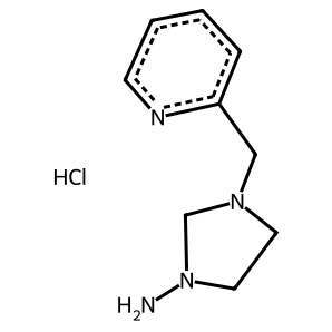 Cl.NN1CCN(Cc2ccccn2)C1